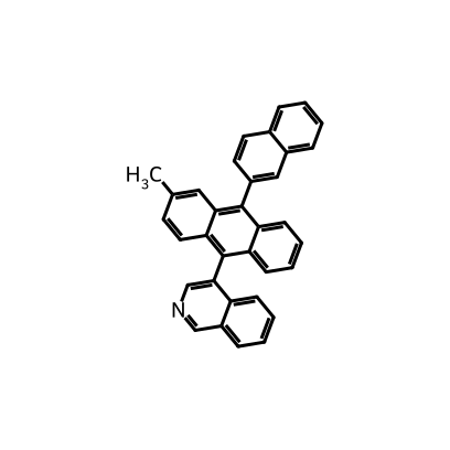 Cc1ccc2c(-c3cncc4ccccc34)c3ccccc3c(-c3ccc4ccccc4c3)c2c1